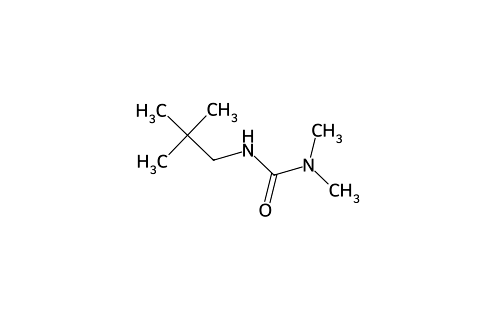 CN(C)C(=O)NCC(C)(C)C